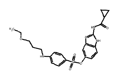 CCOCCCNc1ccc(S(=O)(=O)Oc2ccc3[nH]c(NC(=O)C4CC4)nc3c2)cc1